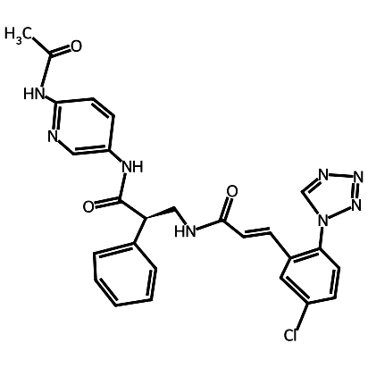 CC(=O)Nc1ccc(NC(=O)[C@@H](CNC(=O)/C=C/c2cc(Cl)ccc2-n2cnnn2)c2ccccc2)cn1